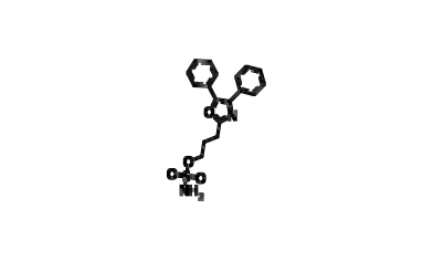 NS(=O)(=O)OCCCc1nc(-c2ccccc2)c(-c2ccccc2)o1